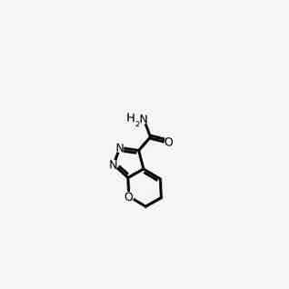 NC(=O)C1=NN=C2OCCC=C21